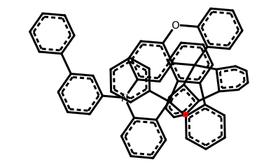 c1ccc(-c2cccc(N(c3ccc4c(c3)C3(c5ccccc5O4)c4ccccc4-c4ccccc43)c3ccccc3C3(c4ccccc4)c4ccccc4-c4ccccc43)c2)cc1